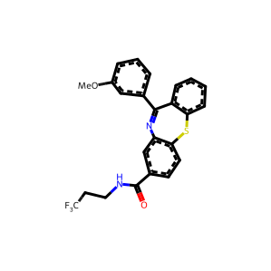 COc1cccc(C2=Nc3cc(C(=O)NCCC(F)(F)F)ccc3Sc3ccccc32)c1